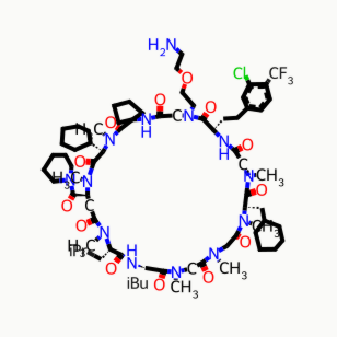 CC[C@H](C)[C@@H]1NC(=O)[C@H](CC(C)C)N(C)C(=O)C[C@@H](C(=O)N2CCCCC2)N(C)C(=O)[C@H](C2CCCCC2)N(C)C(=O)C2(CCCC2)NC(=O)CN(CCOCCN)C(=O)[C@H](CCc2ccc(C(F)(F)F)c(Cl)c2)NC(=O)CN(C)C(=O)[C@H](CC2CCCCC2)N(C)C(=O)CN(C)C(=O)CN(C)C1=O